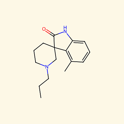 CCCN1CCCC2(C1)C(=O)Nc1cccc(C)c12